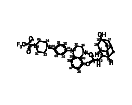 O=C(NC1[C@@H]2CC3C[C@H]1CC(O)(C3)C2)ON1CCN(c2ccc(N3CCN(S(=O)(=O)C(F)(F)F)CC3)cc2)c2ccccc21